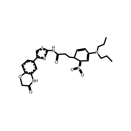 CCCN(CCC)C1=CC(=S(=O)=O)C(CCC(=O)Nc2nc(-c3ccc4c(c3)NC(=O)CO4)cs2)C=C1